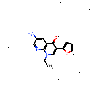 CCn1cc(-c2ccco2)c(=O)c2cc(N)cnc21